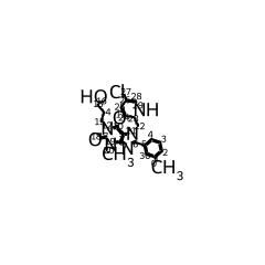 Cc1cccc(-c2nc3c(c(=O)n(CCCO)c(=O)n3C)n2CC2C=CC(Cl)=CN2)c1